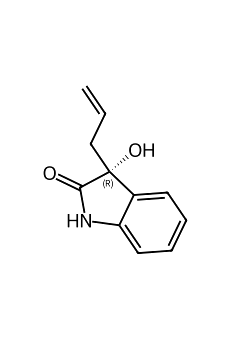 C=CC[C@]1(O)C(=O)Nc2ccccc21